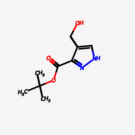 CC(C)(C)OC(=O)c1n[nH]cc1CO